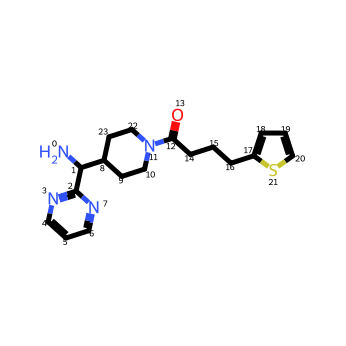 NC(c1ncccn1)C1CCN(C(=O)CCCc2cccs2)CC1